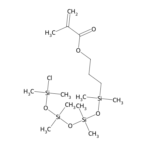 C=C(C)C(=O)OCCC[Si](C)(C)O[Si](C)(C)O[Si](C)(C)O[Si](C)(C)Cl